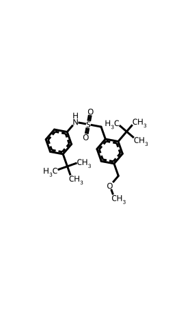 COCc1ccc(CS(=O)(=O)Nc2cccc(C(C)(C)C)c2)c(C(C)(C)C)c1